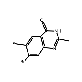 Cc1nc2cc(Br)c(F)cc2c(=O)[nH]1